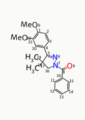 COc1ccc(C2=NN(C(=O)c3ccccc3)CC2(C)C)cc1OC